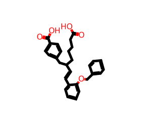 O=C(O)CCCCC(C=Cc1ccccc1OCc1ccccc1)Cc1ccc(C(=O)O)cc1